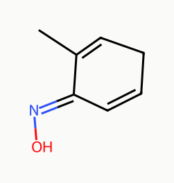 CC1=CCC=CC1=NO